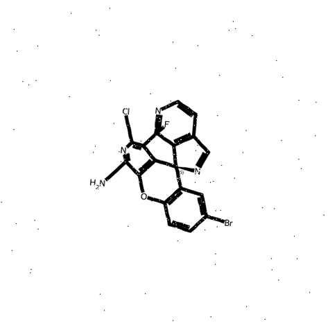 Nc1nc(Cl)c(F)c2c1Oc1ccc(Br)cc1[C@]21N=Cc2ccncc21